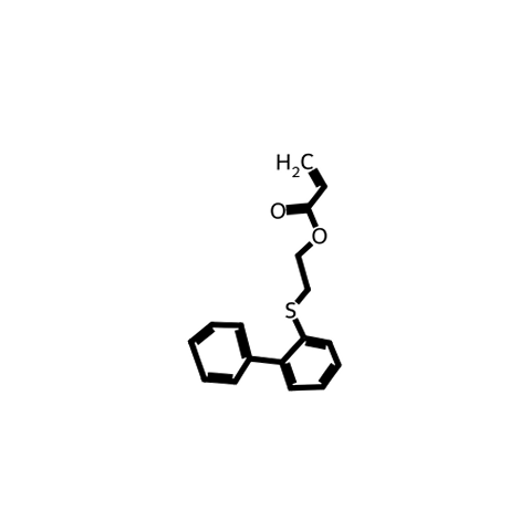 C=CC(=O)OCCSc1ccccc1-c1ccccc1